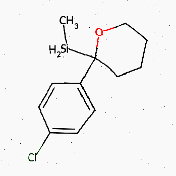 C[SiH2]C1(c2ccc(Cl)cc2)CCCCO1